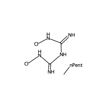 CCCCCC.N=C(NCl)NC(=N)NCl